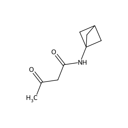 CC(=O)CC(=O)NC12CC(C1)C2